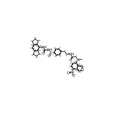 CN(CC(=O)NCCc1ccc([S+]([O-])NC(=O)Nc2c3c(cc4c2CCC4)CCC3)cc1)c1ccc([N+](=O)[O-])c2nonc12